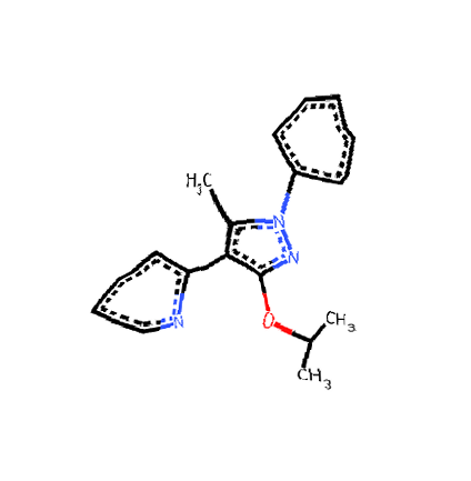 Cc1c(-c2ccccn2)c(OC(C)C)nn1-c1ccccc1